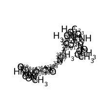 Cc1ccc(N[C@H]2CN(C(=O)OC(C)(C)C)C[C@@H]2F)cc1C(=O)N[C@H](C)c1ccc(C#CC2CCN(CCCCC(=O)N3CCC(c4ccc5c(c4)n(C)c(=O)n5C4CCC(=O)NC4=O)CC3)CC2)c2ccccc12